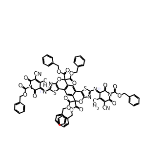 CC1=C(C#N)C(=O)N(C(=O)OCc2ccccc2)C(=O)/C1=N/c1nc2c(s1)-c1cc3c(cc1C(C(=O)OCc1ccccc1)(C(=O)OCc1ccccc1)O2)-c1sc(/N=C2/C(=O)N(C(=O)OCc4ccccc4)C(=O)C(C#N)=C2C)nc1OC3(C(=O)OCc1ccccc1)C(=O)OCc1ccccc1